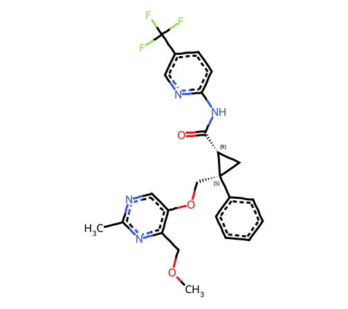 COCc1nc(C)ncc1OC[C@@]1(c2ccccc2)C[C@H]1C(=O)Nc1ccc(C(F)(F)F)cn1